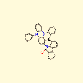 O=c1c2ccccc2c2cccc3c2n1-c1ccc2c4c1B3c1ccccc1N4c1ccccc1N2c1ccccc1